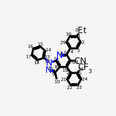 CCc1ccc(-c2nc3c(c(C)nn3-c3ccccc3)c(-c3ccccc3C(F)(F)F)c2C#N)cc1